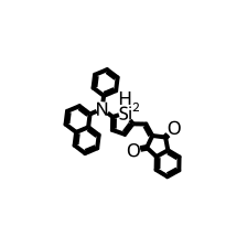 O=C1C(=CC2=CC=C(N(c3ccccc3)c3cccc4ccccc34)[SiH2]2)C(=O)c2ccccc21